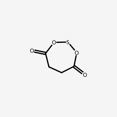 O=C1CCC(=O)OSO1